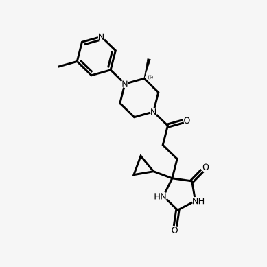 Cc1cncc(N2CCN(C(=O)CCC3(C4CC4)NC(=O)NC3=O)C[C@@H]2C)c1